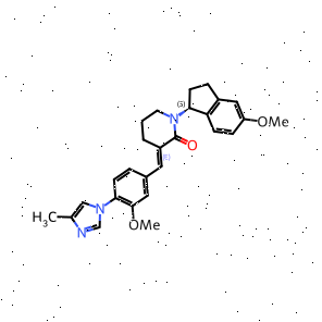 COc1ccc2c(c1)CC[C@@H]2N1CCC/C(=C\c2ccc(-n3cnc(C)c3)c(OC)c2)C1=O